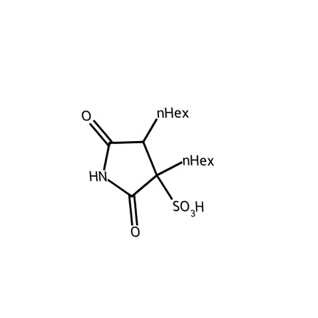 CCCCCCC1C(=O)NC(=O)C1(CCCCCC)S(=O)(=O)O